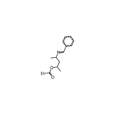 CCC(=O)OC(C)CC(C)N=Cc1ccccc1